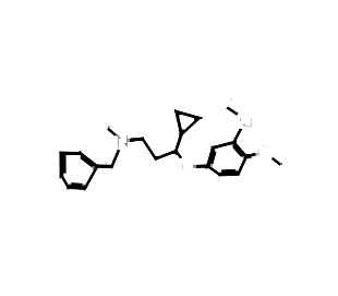 COc1ccc(OC(CCN(C)Cc2ccccc2)C2CC2)cc1OC